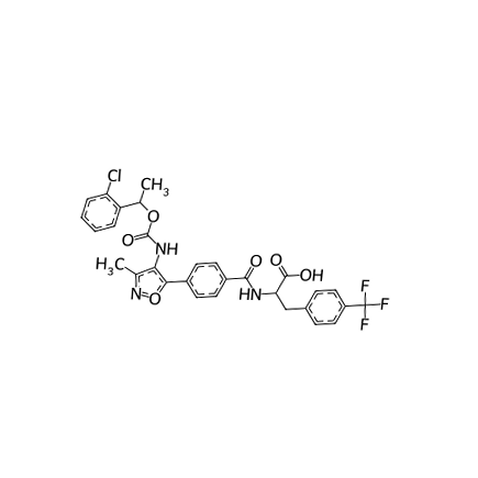 Cc1noc(-c2ccc(C(=O)NC(Cc3ccc(C(F)(F)F)cc3)C(=O)O)cc2)c1NC(=O)OC(C)c1ccccc1Cl